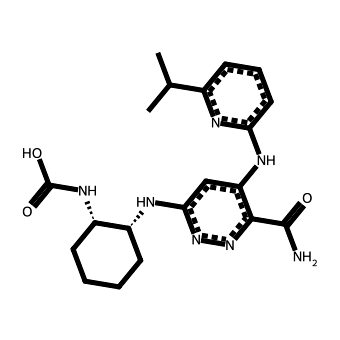 CC(C)c1cccc(Nc2cc(N[C@@H]3CCCC[C@@H]3NC(=O)O)nnc2C(N)=O)n1